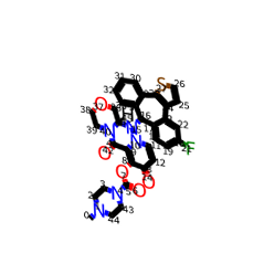 CN1CCN(C(=O)Oc2c3n(ccc2=O)N(C2c4ccc(F)cc4-c4ccsc4-c4ccccc42)[C@@H]2COCCN2C3=O)CC1